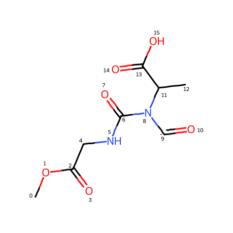 COC(=O)CNC(=O)N([C]=O)C(C)C(=O)O